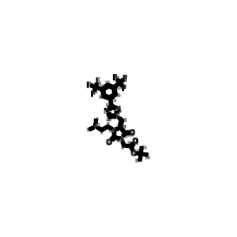 CN(C)CCN1C(=O)N(CC(=O)OC(C)(C)C)C(=O)/C1=C/n1cnc(-c2cc(C(F)(F)F)cc(C(F)(F)F)c2)n1